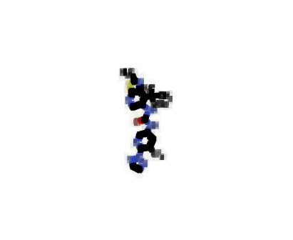 COC(C)(C)c1c(NC(=O)Nc2cnc(-n3nccn3)c(C(F)(F)F)c2)cnc2sc(C)nc12